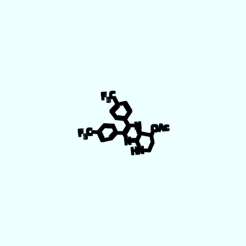 CC(=O)OC1CCNc2nc(-c3ccc(C(F)(F)F)cc3)c(-c3ccc(C(F)(F)F)cc3)nc21